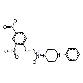 O=[N+]([O-])c1ccc(O/N=[N+](\[O-])N2CCN(c3ccccc3)CC2)c([N+](=O)[O-])c1